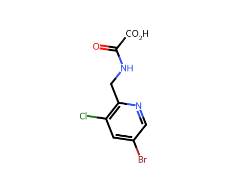 O=C(O)C(=O)NCc1ncc(Br)cc1Cl